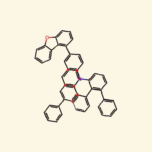 c1ccc(-c2ccc(N(c3ccc(-c4cccc5oc6ccccc6c45)cc3)c3cccc(-c4ccccc4)c3-c3ccccc3-c3ccccc3)cc2)cc1